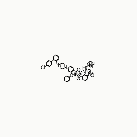 O=C(NS(=O)(=O)c1cccc([N+](=O)[O-])c1NCCn1ccnn1)c1ccc(N2CCN(Cc3ccccc3-c3ccc(Cl)cc3)CC2)cc1Oc1ccccc1